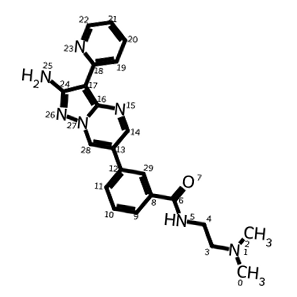 CN(C)CCNC(=O)c1cccc(-c2cnc3c(-c4ccccn4)c(N)nn3c2)c1